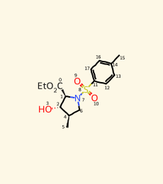 CCOC(=O)[C@@H]1[C@@H](O)[C@H](C)CN1S(=O)(=O)c1ccc(C)cc1